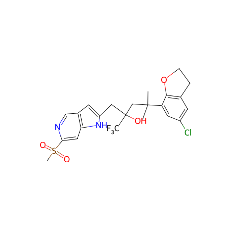 CC(C)(CC(O)(Cc1cc2cnc(S(C)(=O)=O)cc2[nH]1)C(F)(F)F)c1cc(Cl)cc2c1OCC2